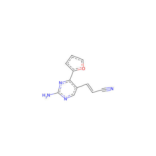 N#C/C=C/c1cnc(N)nc1-c1ccco1